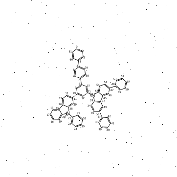 c1ccc(-c2ccc(-c3cc(-c4ccc5c6ccccc6n(-c6ccccc6)c5c4)cc(-n4c5ccc(-c6ccccc6)cc5c5cc(-c6ccccc6)ccc54)c3)cc2)cc1